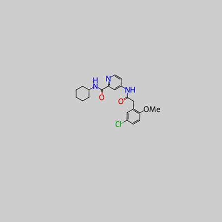 COc1ccc(Cl)cc1CC(=O)Nc1ccnc(C(=O)NC2CCCCC2)c1